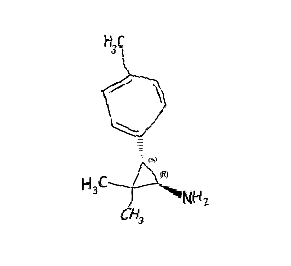 Cc1ccc([C@@H]2[C@@H](N)C2(C)C)cc1